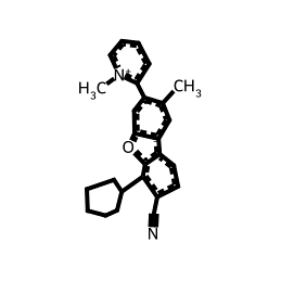 Cc1cc2c(cc1-c1cccc[n+]1C)oc1c(C3CCCCC3)c(C#N)ccc12